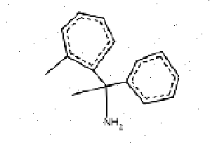 Cc1ccccc1C(C)(N)c1ccccc1